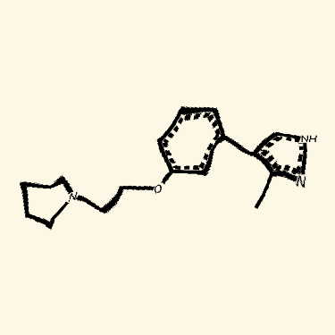 Cc1n[nH]cc1-c1cc[c]c(OCCN2CCCC2)c1